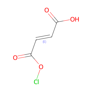 O=C(O)/C=C/C(=O)OCl